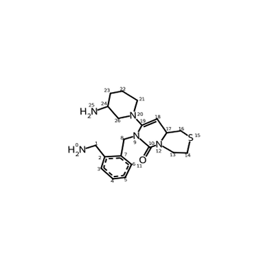 NCc1ccccc1CN1C(=O)N2CCSCC2C=C1N1CCCC(N)C1